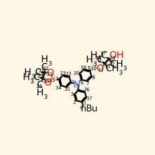 CCCCc1ccc(N(c2ccc(BOC(C)(C)C(C)(C)O)cc2)c2ccc(B3OC(C)(C)C(C)(C)O3)cc2)cc1